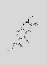 CCOC(=O)c1c[nH]c2cc(CC)c(N)cc2c1=O